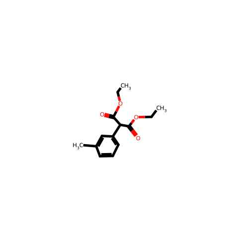 CCOC(=O)C(C(=O)OCC)c1cccc(C)c1